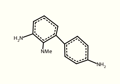 CNc1c(N)cccc1-c1ccc(N)cc1